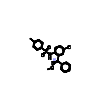 CO/N=C(\c1ccccc1)c1cc(Cl)ccc1NS(=O)(=O)c1ccc(C)cc1